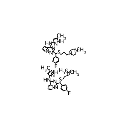 Cc1cc(Nc2nc(C(SCCCN(C)C)c3ccc(F)cc3)nn3cccc23)n[nH]1.Cc1cc(Nc2nc(C(SCCCN3CCN(C)CC3)c3ccc(F)cc3)nn3cccc23)n[nH]1